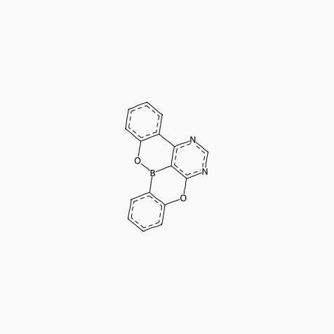 c1ccc2c(c1)Oc1ncnc3c1B2Oc1ccccc1-3